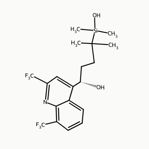 CC(C)(CC[C@H](O)c1cc(C(F)(F)F)nc2c(C(F)(F)F)cccc12)[Si](C)(C)O